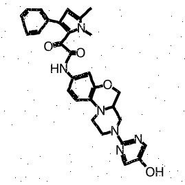 Cc1cc(-c2ccccc2)c(C(=O)C(=O)Nc2ccc3c(c2)OCC2CN(c4ncc(O)cn4)CCN32)n1C